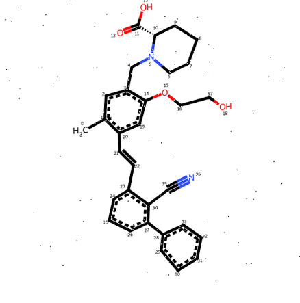 Cc1cc(CN2CCCC[C@H]2C(=O)O)c(OCCO)cc1/C=C/c1cccc(-c2ccccc2)c1C#N